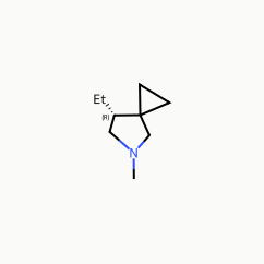 CC[C@H]1CN(C)CC12CC2